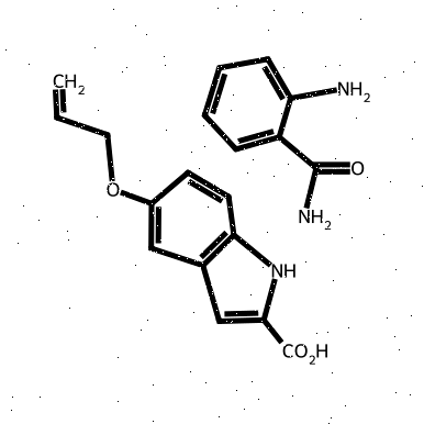 C=CCOc1ccc2[nH]c(C(=O)O)cc2c1.NC(=O)c1ccccc1N